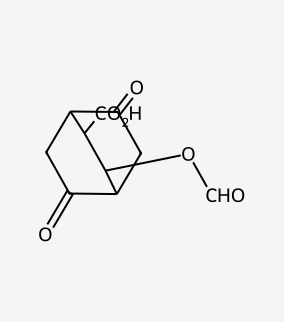 O=COC1C2CC(=O)C(CC2=O)C1C(=O)O